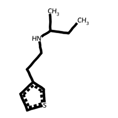 CCC(C)NCCc1ccsc1